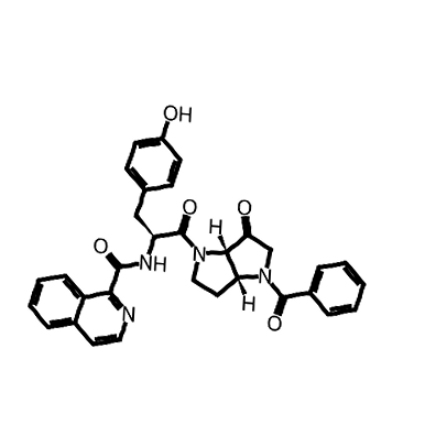 O=C(N[C@@H](Cc1ccc(O)cc1)C(=O)N1CC[C@@H]2[C@H]1C(=O)CN2C(=O)c1ccccc1)c1nccc2ccccc12